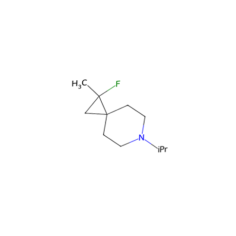 CC(C)N1CCC2(CC1)CC2(C)F